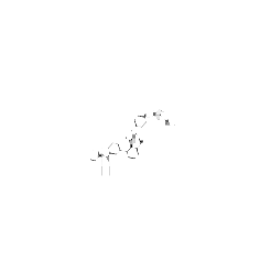 C=CC(=O)Nc1cccc(-c2cccc3cnc(Cc4ccc(O[C@H]5CCN(C(C)=O)C5)cc4)nc23)c1